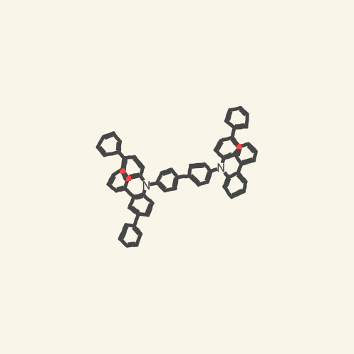 c1ccc(-c2ccc(N(c3ccc(-c4ccc(N(c5ccc(-c6ccccc6)cc5)c5ccc(-c6ccccc6)cc5-c5ccccc5)cc4)cc3)c3ccccc3-c3ccccc3)cc2)cc1